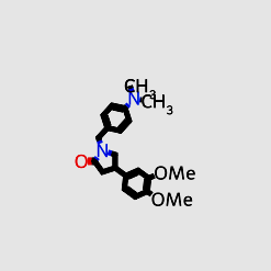 COc1ccc(C2CC(=O)N(Cc3ccc(N(C)C)cc3)C2)cc1OC